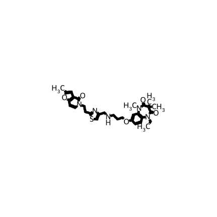 CCN1C(=O)C(C)(C)C(=O)N(C)c2cc(OCCCNCc3csc(CCn4ccc5oc(C)cc5c4=O)n3)ccc21